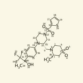 C[C@@H]1CS(=O)(=O)CCN1C[C@H]1CN(S(=O)(=O)c2cccs2)CCN1c1ccc([C@@](C)(O)C(F)(F)F)cc1